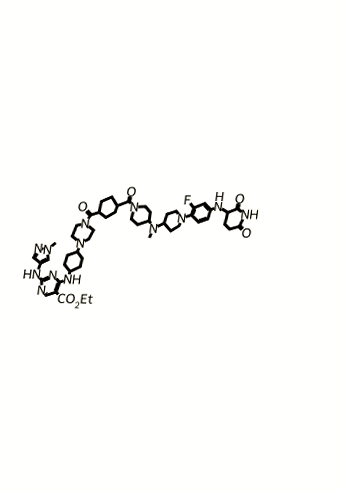 CCOC(=O)c1cnc(Nc2cnn(C)c2)nc1NC1CCC(N2CCN(C(=O)C3CCC(C(=O)N4CCC(N(C)C5CCN(c6ccc(NC7CCC(=O)NC7=O)cc6F)CC5)CC4)CC3)CC2)CC1